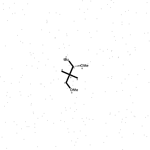 COCC(C)(C)[C@@H](OC)C(C)(C)C